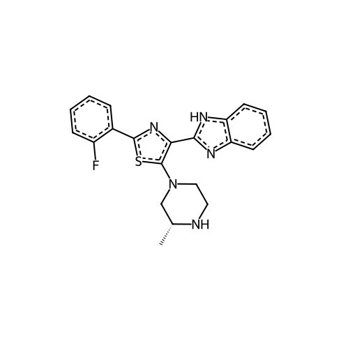 C[C@@H]1CN(c2sc(-c3ccccc3F)nc2-c2nc3ccccc3[nH]2)CCN1